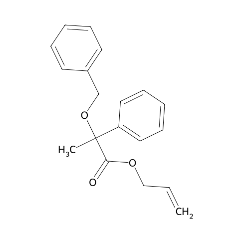 C=CCOC(=O)C(C)(OCc1ccccc1)c1ccccc1